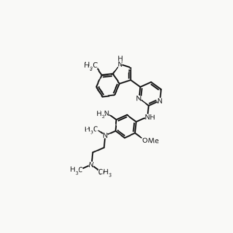 COc1cc(N(C)CCN(C)C)c(N)cc1Nc1nccc(-c2c[nH]c3c(C)cccc23)n1